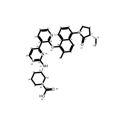 Cc1ccc2c(N3CC[C@H](CF)C3=O)cccc2c1Oc1ncccc1-c1ccnc(N[C@H]2CCCN(C(=O)O)C2)n1